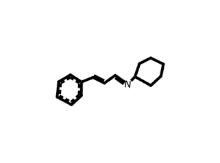 C(=C\c1ccccc1)/C=N/C1CCCCC1